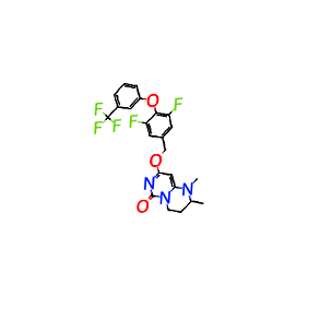 CC1CCn2c(cc(OCc3cc(F)c(Oc4cccc(C(F)(F)F)c4)c(F)c3)nc2=O)N1C